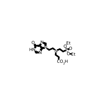 CCOP(=O)(CCN(CCC(=O)O)CCn1cnc2c(=O)[nH]cnc21)OCC